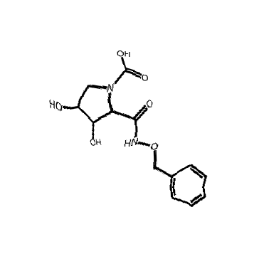 O=C(NOCc1ccccc1)C1C(O)C(O)CN1C(=O)O